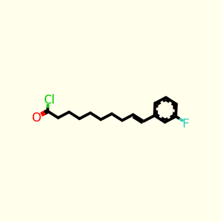 O=C(Cl)CCCCCCCC=Cc1cccc(F)c1